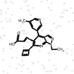 CCn1ncc2c(-c3cncc(C)c3)c(/C=C/C(=O)O)c(C3=CC=C3)nc21